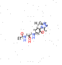 CCC(=O)NC[C@H](O)CNc1ccc2c(c1)OC=C1N=NC(C)N12